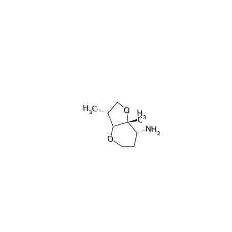 C[C@@H]1CO[C@@]2(C)C1OCC[C@H]2N